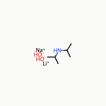 CC(C)NC(C)C.[Li+].[Na+].[OH-].[OH-]